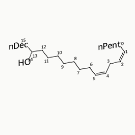 CCCCC/C=C\C/C=C\CCCCCCCC(O)CCCCCCCCCC